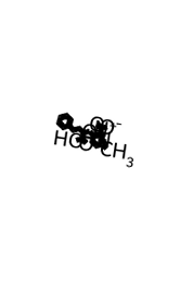 Cc1ccc(OC(CCc2ccccc2)C(=O)O)c([N+](=O)[O-])n1